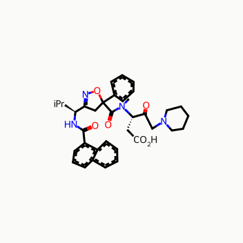 CC(C)[C@H](NC(=O)c1cccc2ccccc12)C1=NOC(C(=O)N(C)[C@@H](CC(=O)O)C(=O)CN2CCCCC2)(c2ccccc2)C1